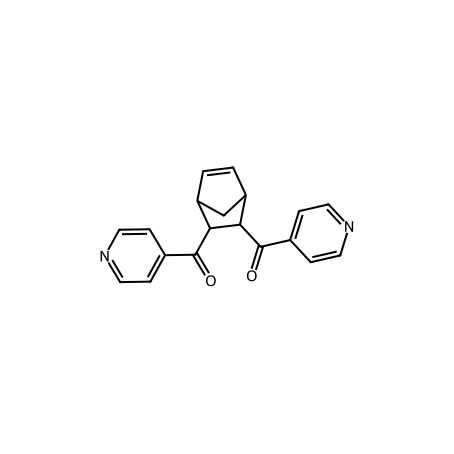 O=C(c1ccncc1)C1C2C=CC(C2)C1C(=O)c1ccncc1